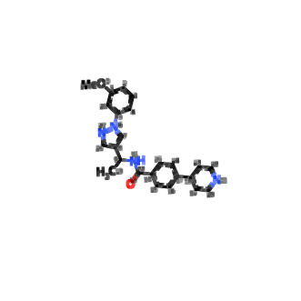 COc1cccc(-n2cc(C(C)NC(=O)c3ccc(-c4ccncc4)cc3)cn2)c1